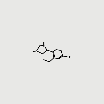 CCC1=C(C2CC(C)CN2)CCC(S)=C1